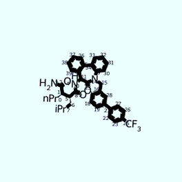 CCC[C@H](C(N)=O)[C@@H](CC(C)C)C(=O)NC1C(=O)N(Cc2cccc(-c3ccc(C(F)(F)F)cc3)c2)c2ccccc2-c2ccccc21